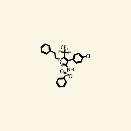 O=S(=O)(Nc1nn(CCc2ccccc2)c(C(F)(F)C(F)(F)F)c1-c1ccc(Cl)cc1)c1ccccc1